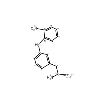 CCOC(=O)[C@@H](N)Cc1cccc(Nc2ncccc2[N+](=O)[O-])c1